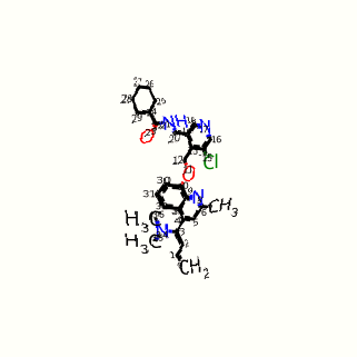 C=C/C=C(/c1cc(C)nc2c(OCc3c(Cl)cncc3CNC(=O)C3CCCCC3)cccc12)N(C)C